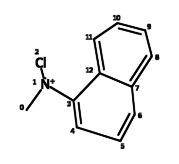 C[N+](Cl)c1cccc2ccccc12